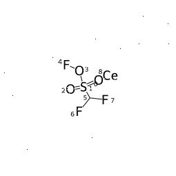 O=S(=O)(OF)C(F)F.[Ce]